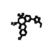 CCc1noc(-c2ccc3c(c2)N(Cc2ccc(Cl)cc2)C(=O)[C@@H](N)CS3(=O)=O)n1